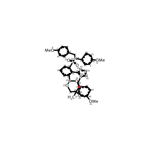 COc1ccc(CN(c2ccc(OC)cc2)S(=O)(=O)c2cccc(B3OCC(C)(C)CO3)c2-c2nnnn2Cc2ccc(OC)cc2)cc1